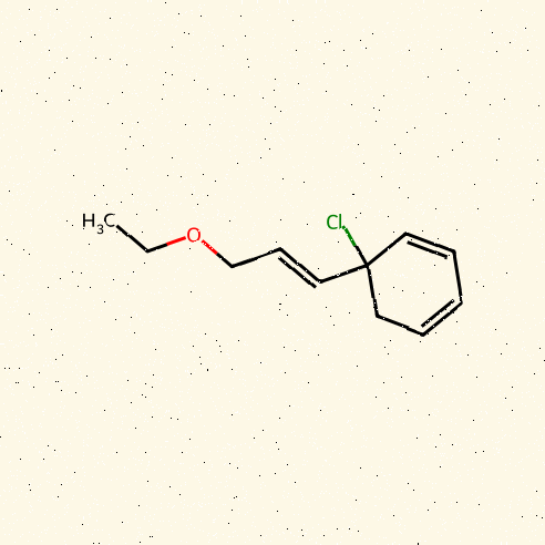 CCOCC=CC1(Cl)C=CC=CC1